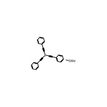 C(#Cc1ccccc1)B(C#Cc1ccccc1)C#Cc1ccccc1.CSC